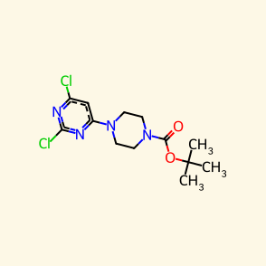 CC(C)(C)OC(=O)N1CCN(c2cc(Cl)nc(Cl)n2)CC1